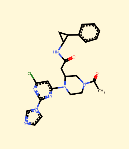 CC(=O)N1CCN(c2cc(Cl)nc(-n3ccnc3)n2)C(CC(=O)NC2CC2c2ccccc2)C1